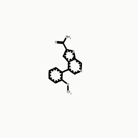 NC(=O)c1cc2c(-c3ccccc3OC(F)(F)F)cncc2s1